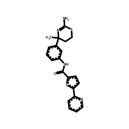 CC1(c2cccc(NC(=O)c3ccc(-c4ccccn4)s3)c2)CCSC(N)=N1